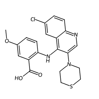 COc1ccc(Nc2c(N3CCSCC3)cnc3ccc(Cl)cc23)c(C(=O)O)c1